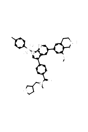 COc1cc(-c2cnc3c(c2)c(-c2ccc(C(=O)N(C)CC4CCOC4)cc2)cn3S(=O)(=O)c2ccc(C)cc2)cc2c1CNCC2